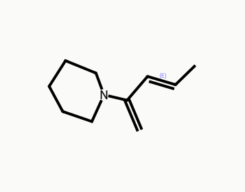 C=C(/C=C/C)N1CCCCC1